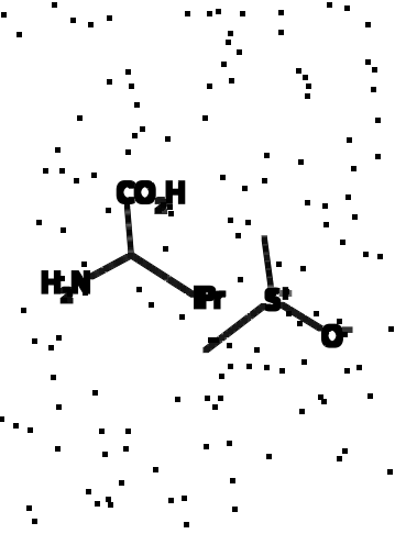 CC(C)C(N)C(=O)O.C[S+](C)[O-]